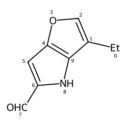 CCc1coc2cc(C=O)[nH]c12